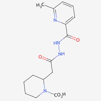 Cc1cccc(C(=O)NNC(=O)CC2CCCCN2C(=O)O)n1